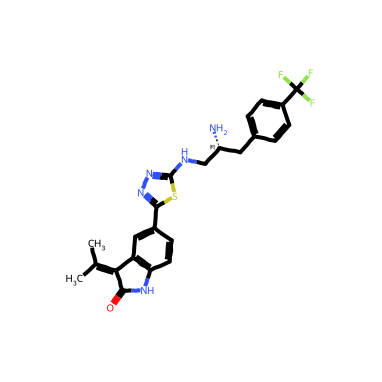 CC(C)=C1C(=O)Nc2ccc(-c3nnc(NC[C@H](N)Cc4ccc(C(F)(F)F)cc4)s3)cc21